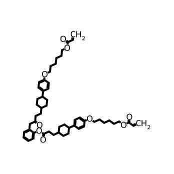 C=CC(=O)OCCCCCCOc1ccc(C2CCC(CCC(=O)Cc3ccccc3OC(=O)CCC3CCC(c4ccc(OCCCCCCOC(=O)C=C)cc4)CC3)CC2)cc1